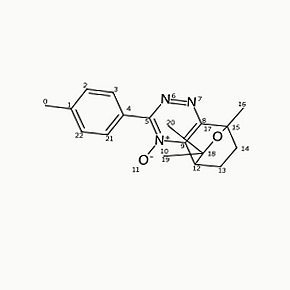 Cc1ccc(-c2nnc3c([n+]2[O-])C2CCC3(C)OC2(C)C)cc1